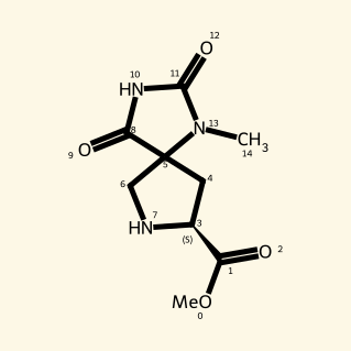 COC(=O)[C@@H]1CC2(CN1)C(=O)NC(=O)N2C